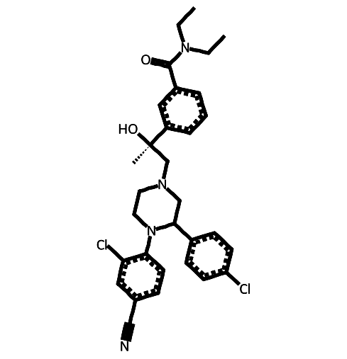 CCN(CC)C(=O)c1cccc([C@](C)(O)CN2CCN(c3ccc(C#N)cc3Cl)C(c3ccc(Cl)cc3)C2)c1